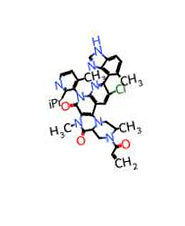 C=CC(=O)N1CC2C(=O)N(C)c3c(c4cc(Cl)c(-c5c(C)ccc6[nH]cnc56)nc4n(-c4c(C)ccnc4C(C)C)c3=O)N2CC1C